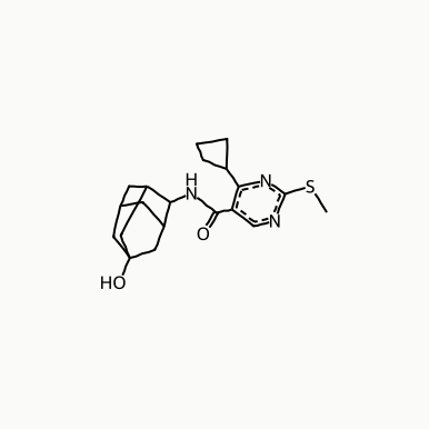 CSc1ncc(C(=O)NC2C3CC4CC2CC(O)(C4)C3)c(C2CCC2)n1